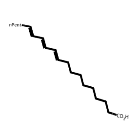 CCCCCC=CC=CC=CCCCCCCCCC(=O)O